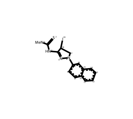 CNC(=S)NC1=NN(c2ccc3ccccc3c2)CC1I